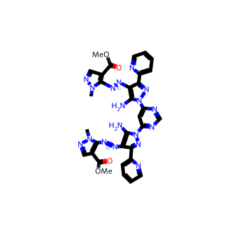 COC(=O)c1cnn(C)c1/N=N/c1c(-c2ccccn2)nn(-c2cc(-n3nc(-c4ccccn4)c(/N=N/c4c(C(=O)OC)cnn4C)c3N)ncn2)c1N